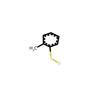 Cc1ccccc1S[S]